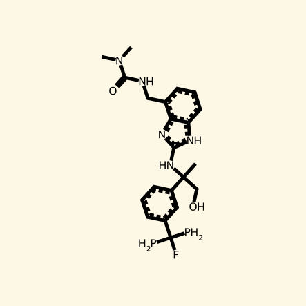 CN(C)C(=O)NCc1cccc2[nH]c(NC(C)(CO)c3cccc(C(F)(P)P)c3)nc12